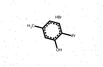 Br.Cc1ccc(C(C)C)c(O)c1